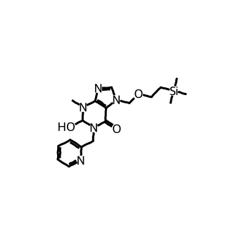 CN1c2ncn(COCC[Si](C)(C)C)c2C(=O)N(Cc2ccccn2)C1O